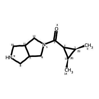 C[C@@H]1C(C(=O)N2CC3CNCC3C2)[C@@H]1C